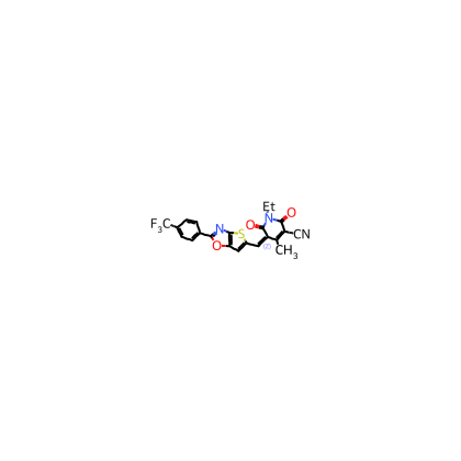 CCN1C(=O)C(C#N)=C(C)/C(=C/c2cc3oc(-c4ccc(C(F)(F)F)cc4)nc3s2)C1=O